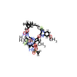 CC[C@@H]1[C@@H]2CN(C(=O)[C@H](C(C)(C)C)NC(=O)O[C@@H]3C[C@@H]4C[C@@H]4[C@H]3CCCCC(F)(F)c3nc4ccc(OC)cc4nc3O2)[C@@H]1C(=O)N[C@]1(C(=O)NS(=O)(=O)C2CC2)C[C@H]1C(F)F